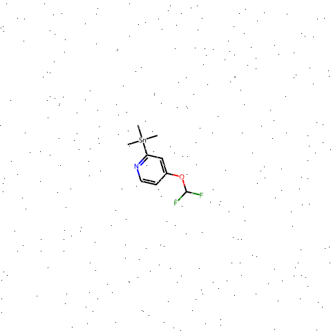 [CH3][Sn]([CH3])([CH3])[c]1cc(OC(F)F)ccn1